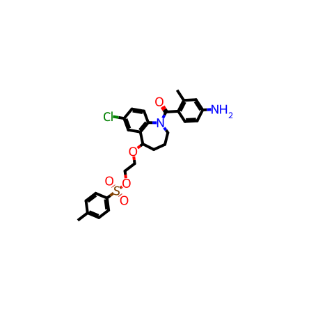 Cc1ccc(S(=O)(=O)OCCOC2CCCN(C(=O)c3ccc(N)cc3C)c3ccc(Cl)cc32)cc1